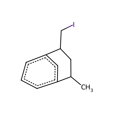 CC1CC(CI)c2cccc1c2